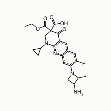 CCOC(=O)C1(C(=O)O)CN(C2CC2)c2nc3cc(N4CC(N)C4C)c(F)cc3cc2C1=O